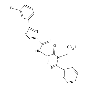 O=C(O)Cn1c(-c2ccccc2)ncc(NC(=O)c2coc(-c3cccc(F)c3)n2)c1=O